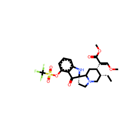 CC[C@@H]1CN2CC[C@]3(Nc4cccc(OS(=O)(=O)C(F)(F)F)c4C3=O)C2C[C@@H]1/C(=C\OC)C(=O)OC